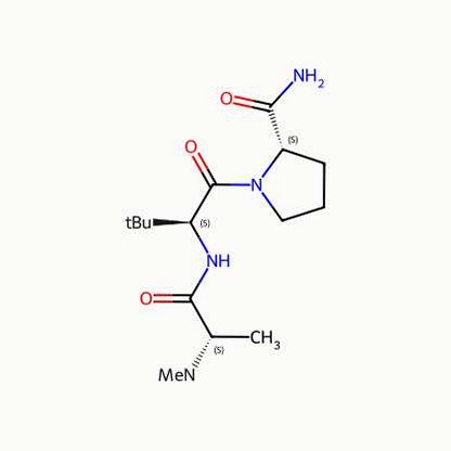 CN[C@@H](C)C(=O)N[C@H](C(=O)N1CCC[C@H]1C(N)=O)C(C)(C)C